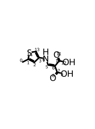 Cc1cc(NC=C(C(=O)O)C(=O)O)cs1